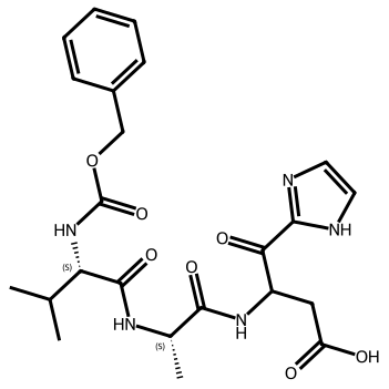 CC(C)[C@H](NC(=O)OCc1ccccc1)C(=O)N[C@@H](C)C(=O)NC(CC(=O)O)C(=O)c1ncc[nH]1